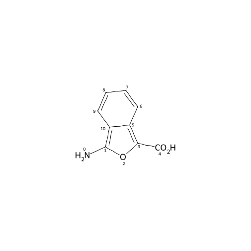 Nc1oc(C(=O)O)c2ccccc12